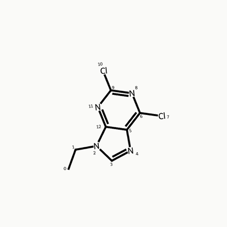 CCn1cnc2c(Cl)nc(Cl)nc21